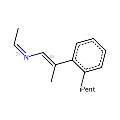 C/C=N\C=C(/C)c1ccccc1C(C)CCC